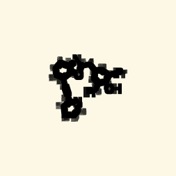 CC(C)c1cc(Cc2nc3cccc(C#Cc4ccccn4)c3o2)cc(C(C)C)c1O